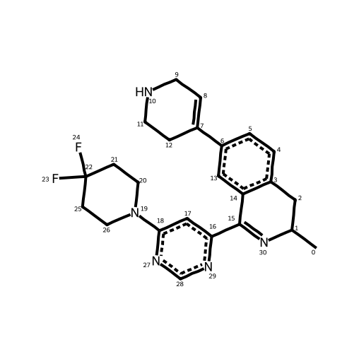 CC1Cc2ccc(C3=CCNCC3)cc2C(c2cc(N3CCC(F)(F)CC3)ncn2)=N1